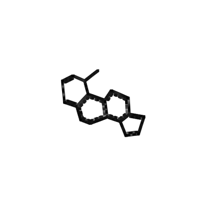 CC1C=CC=c2ccc3c4c(ccc3c21)=CC=C4